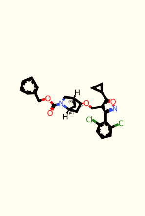 O=C(OCc1ccccc1)N1C[C@H]2C[C@@H]1C[C@@H]2OCc1c(-c2c(Cl)cccc2Cl)noc1C1CC1